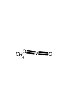 C.[O]=[V]=[O]